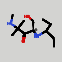 CCC(CC)N[C@@H](CO)C(=O)C(C)(C)NC